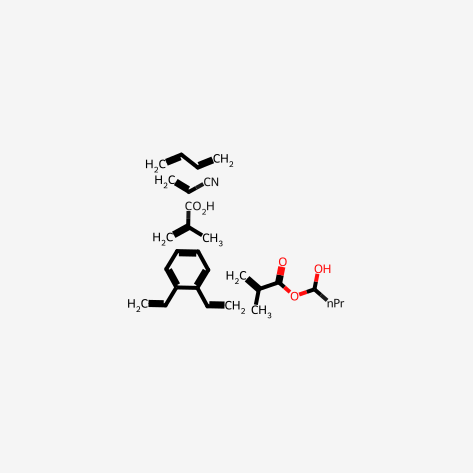 C=C(C)C(=O)O.C=C(C)C(=O)OC(O)CCC.C=CC#N.C=CC=C.C=Cc1ccccc1C=C